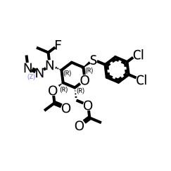 C/N=N\N(C(C)F)[C@@H]1C[C@@H](Sc2ccc(Cl)c(Cl)c2)O[C@H](COC(C)=O)[C@@H]1OC(C)=O